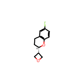 Fc1ccc2c(c1)CC[C@@H](C1COC1)O2